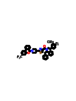 CCc1ccc(CCN(C(=O)c2csc(C3CCN(C(=O)c4ccccc4-c4ccc(C(F)(F)F)cc4)CC3)n2)C(Cc2ccccc2)c2ccccc2)cc1OC